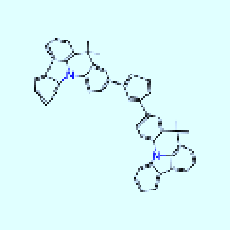 CC1(C)c2cc(-c3cccc(-c4ccc5c(c4)C(C)(C)c4cccc6c7ccccc7n-5c46)c3)ccc2-n2c3ccccc3c3cccc1c32